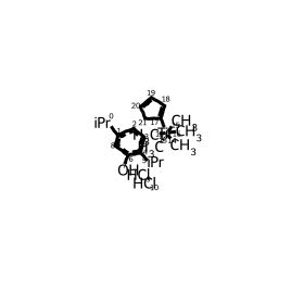 CC(C)c1ccc(C(C)C)c(O)c1.Cl.Cl.[CH3][Ti]([CH3])([CH3])([CH3])([CH3])[C]1=CC=CC1